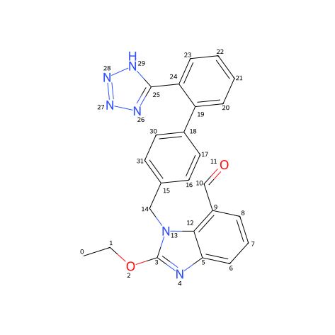 CCOc1nc2cccc(C=O)c2n1Cc1ccc(-c2ccccc2-c2nnn[nH]2)cc1